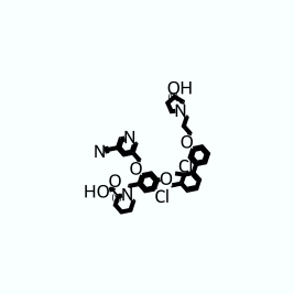 CC1(Cl)C(c2cccc(OCCCN3CC[C@@H](O)C3)c2)=CC=CC1COc1cc(OCc2cncc(C#N)c2)c(CN2CCCC[C@H]2C(=O)O)cc1Cl